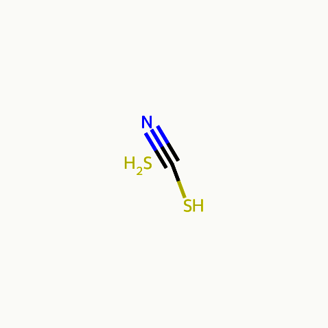 N#CS.S